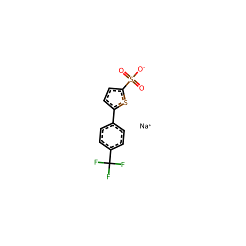 O=S(=O)([O-])c1ccc(-c2ccc(C(F)(F)F)cc2)s1.[Na+]